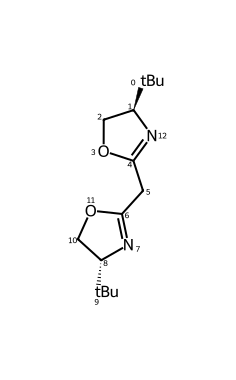 CC(C)(C)[C@@H]1COC(CC2=N[C@H](C(C)(C)C)CO2)=N1